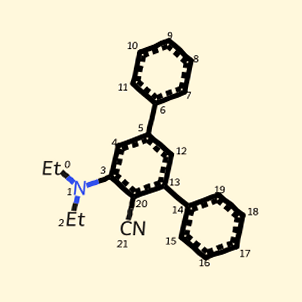 CCN(CC)c1cc(-c2ccccc2)cc(-c2ccccc2)c1C#N